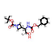 C[C@@H](O)[C@H](NC(=O)OCc1ccccc1)C1CN(C(=O)OC(C)(C)C)C1